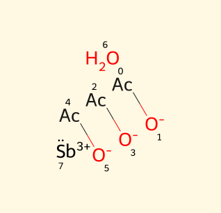 CC(=O)[O-].CC(=O)[O-].CC(=O)[O-].O.[Sb+3]